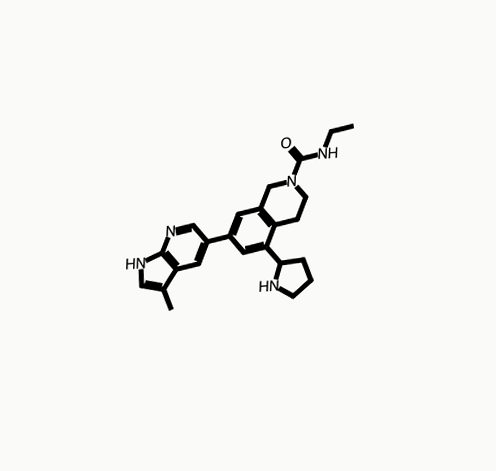 CCNC(=O)N1CCc2c(cc(-c3cnc4[nH]cc(C)c4c3)cc2C2CCCN2)C1